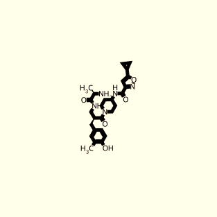 Cc1cc(C[C@@H](CNC(=O)[C@H](C)N)C(=O)N2CCC(NC(=O)c3cc(C4CC4)on3)CC2)ccc1O